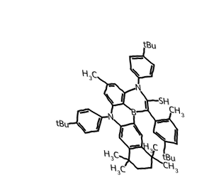 Cc1cc2c3c(c1)N(c1ccc(C(C)(C)C)cc1)c1cc4c(cc1B3C(c1cc(C(C)(C)C)ccc1C)=C(S)N2c1ccc(C(C)(C)C)cc1)C(C)(C)CCC4(C)C